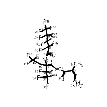 CCC(C)C(=O)OCCC(CC(F)(F)F)(OC(=O)C(F)(F)C(F)(F)C(F)(F)C(F)(F)F)C(F)(F)C(F)(F)F